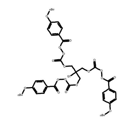 CCCCOc1ccc(C(=O)OOC(=O)OCC(CC)(COC(=O)OOC(=O)c2ccc(OCCCC)cc2)COC(=O)OOC(=O)c2ccc(OCCCC)cc2)cc1